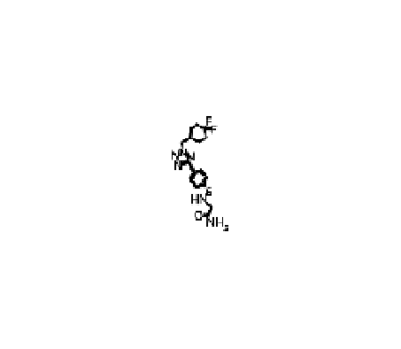 NC(=O)CNSc1ccc(-c2nnn(CC3CCC(F)(F)CC3)n2)cc1